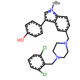 CCCCn1cc(-c2ccc(O)cc2)c2cc(CN3CCN(Cc4c(Cl)cccc4Cl)CC3)ccc21